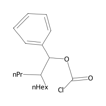 CCCCCCC(CCC)C(OC(=O)Cl)c1ccccc1